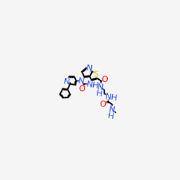 CNCC(=O)NCCNC(=O)c1sc2nccc3c2c1NC(=O)N3c1ccnc(-c2ccccc2)c1